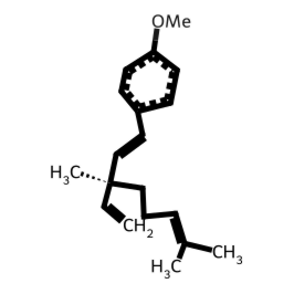 C=C[C@@](C)(/C=C/c1ccc(OC)cc1)CCC=C(C)C